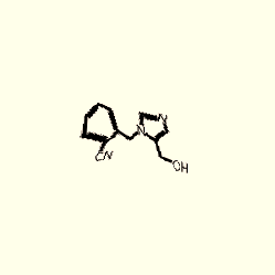 N#Cc1ccccc1Cn1cncc1CO